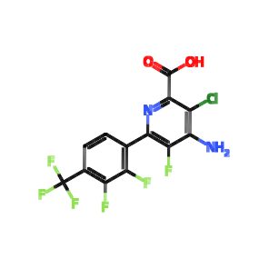 Nc1c(F)c(-c2ccc(C(F)(F)F)c(F)c2F)nc(C(=O)O)c1Cl